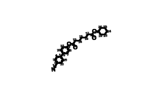 N#Cc1ccc(-c2ccc(OC(=O)CCCCCC(=O)OC3CCCCC3)cc2)cc1